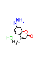 Cc1cc(=O)oc2cc(NN)ccc12.Cl